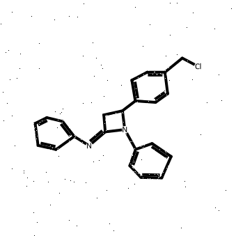 ClCc1ccc(C2CC(=Nc3ccccc3)N2c2ccccc2)cc1